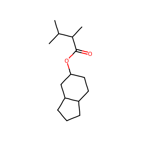 CC(C)C(C)C(=O)OC1CCC2CCCC2C1